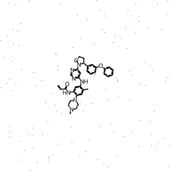 C=CC(=O)Nc1cc(Nc2cc(N3OCCC3c3cccc(Oc4ccccc4)c3)ncn2)c(C)cc1N1CCN(C)CC1